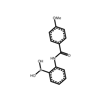 COc1ccc(C(=O)Nc2ccccc2B(O)O)cc1